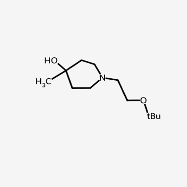 CC1(O)CCN(CCOC(C)(C)C)CC1